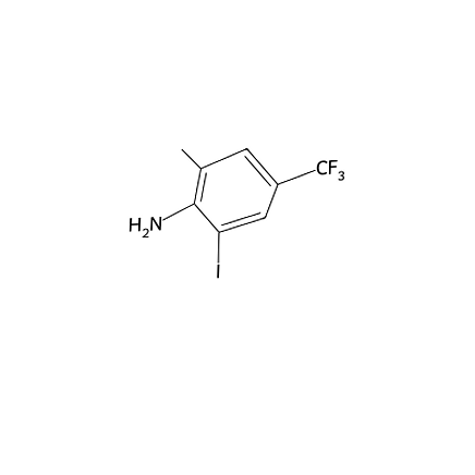 Cc1cc(C(F)(F)F)cc(I)c1N